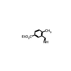 CCOC(=O)c1ccc(C)c(C=N)c1